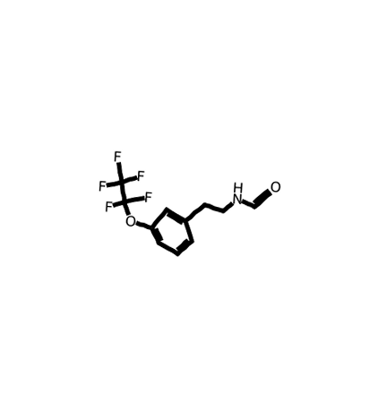 O=CNCCc1cccc(OC(F)(F)C(F)(F)F)c1